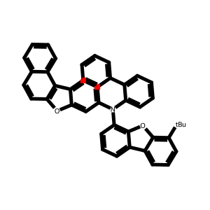 CC(C)(C)c1cccc2c1oc1c(N(c3ccc4c(c3)oc3ccc5ccccc5c34)c3ccccc3-c3ccccc3)cccc12